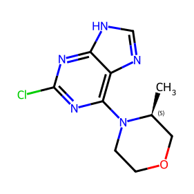 C[C@H]1COCCN1c1nc(Cl)nc2[nH]cnc12